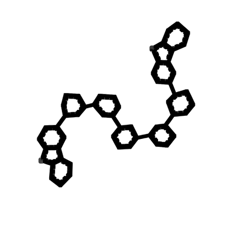 c1cc(-c2cccc(-c3cccc(-c4ccc5oc6ccccc6c5c4)c3)c2)cc(-c2cccc(-c3cccc(-c4ccc5oc6ccccc6c5c4)c3)c2)c1